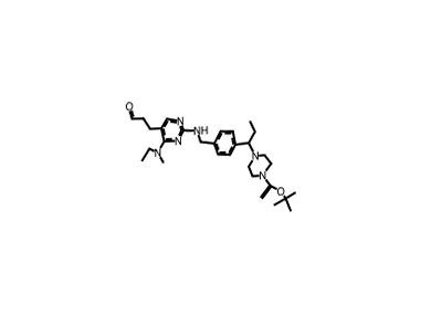 C=C(OC(C)(C)C)N1CCN(C(CC)c2ccc(CNc3ncc(CCC=O)c(N(C)CC)n3)cc2)CC1